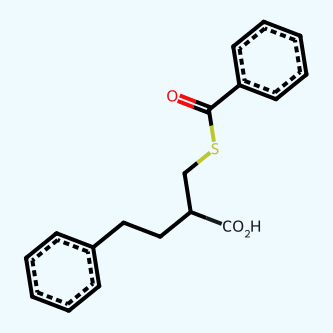 O=C(SCC(CCc1ccccc1)C(=O)O)c1ccccc1